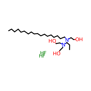 CCCCCCCCCCCCCCCCCCN(CCO)C(CC)N(CCO)CCO.F.F